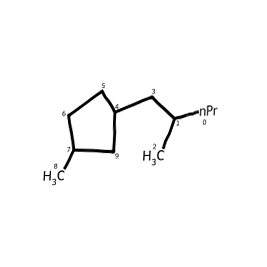 CCCC(C)CC1CCC(C)C1